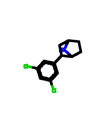 Clc1cc(Cl)cc(C2CC3CCC2N3)c1